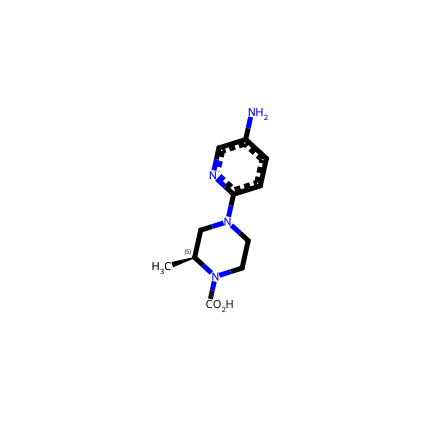 C[C@H]1CN(c2ccc(N)cn2)CCN1C(=O)O